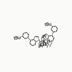 [CH2]=[Hf]([CH3])([CH3])([CH2]C(C)C)([CH2]C(C)C)([CH]1C=Cc2c(-c3cccc(C(C)(C)C)c3)cccc21)[CH]1C=Cc2c(-c3cccc(C(C)(C)C)c3)cccc21